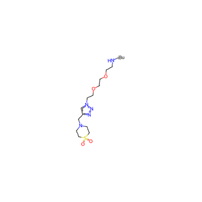 CCC(C)NCCOCCOCCn1cc(CN2CCS(=O)(=O)CC2)nn1